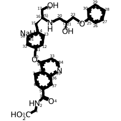 O=C(O)CNC(=O)c1ccc2c(Oc3ccc(C[C@@H](CO)NC[C@H](O)COc4ccccc4)cc3)ccnc2c1.[NaH]